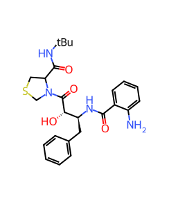 CC(C)(C)NC(=O)C1CSCN1C(=O)[C@@H](O)[C@H](Cc1ccccc1)NC(=O)c1ccccc1N